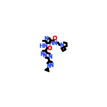 Cc1ncc(C(=O)NCCN2CCCC23CCC3)cc1NC(=O)c1cnn2cc(-c3cnn(C4CC4)c3)ncc12